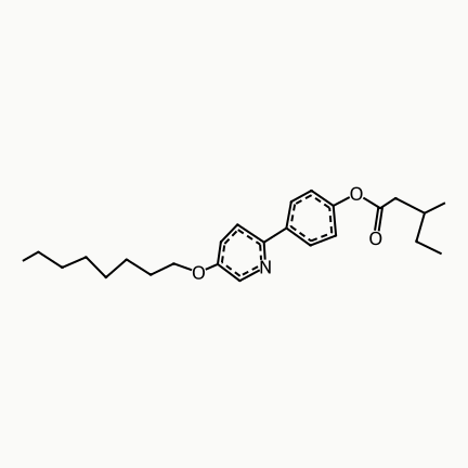 CCCCCCCCOc1ccc(-c2ccc(OC(=O)CC(C)CC)cc2)nc1